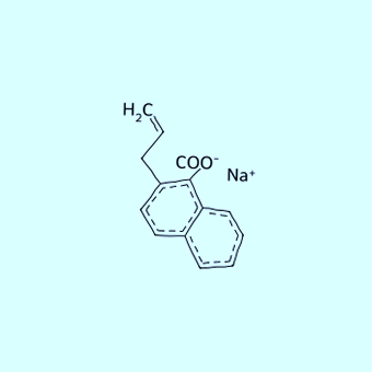 C=CCc1ccc2ccccc2c1C(=O)[O-].[Na+]